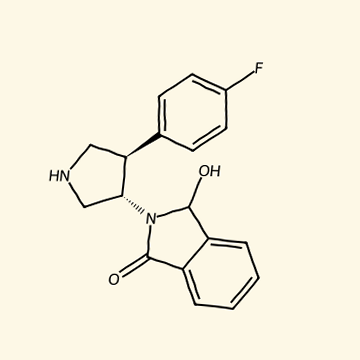 O=C1c2ccccc2C(O)N1[C@@H]1CNC[C@H]1c1ccc(F)cc1